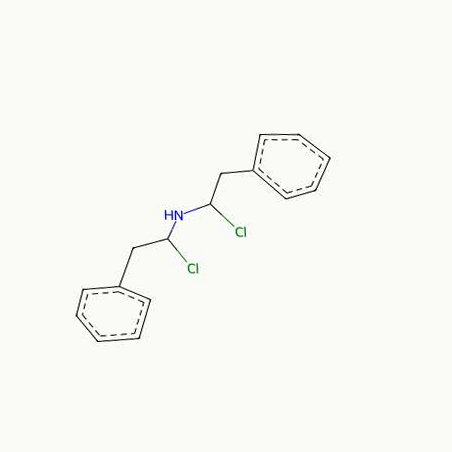 ClC(Cc1ccccc1)NC(Cl)Cc1ccccc1